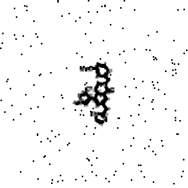 COc1ccnc(CN2CCc3c(cc(Cc4ncc[nH]4)cc3-c3cn(C)nc3C(F)(F)F)C2=O)c1